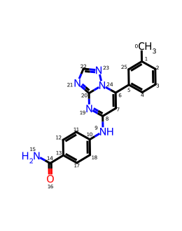 Cc1cccc(-c2cc(Nc3ccc(C(N)=O)cc3)nc3ncnn23)c1